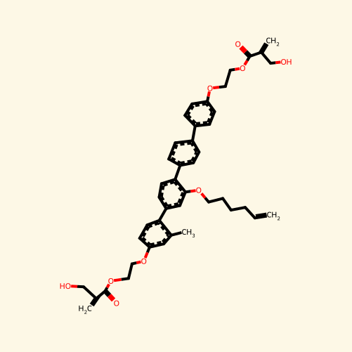 C=CCCCCOc1cc(-c2ccc(OCCOC(=O)C(=C)CO)cc2C)ccc1-c1ccc(-c2ccc(OCCOC(=O)C(=C)CO)cc2)cc1